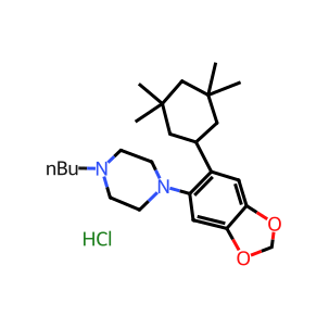 CCCCN1CCN(c2cc3c(cc2C2CC(C)(C)CC(C)(C)C2)OCO3)CC1.Cl